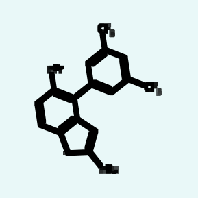 CCCCC1=Cc2c(ccc(CCC)c2-c2cc(C(F)(F)F)cc(C(F)(F)F)c2)[CH]1